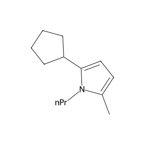 CCCn1c(C)ccc1C1CCCC1